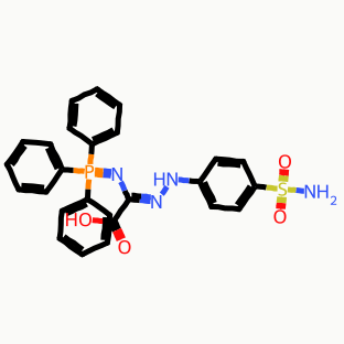 NS(=O)(=O)c1ccc(NN=C(N=P(c2ccccc2)(c2ccccc2)c2ccccc2)C(=O)O)cc1